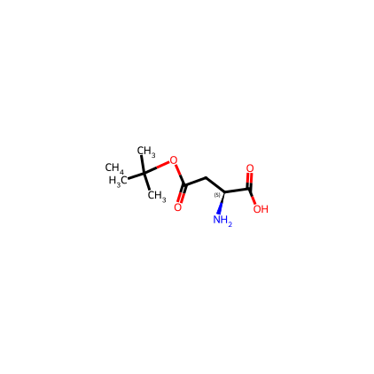 C.CC(C)(C)OC(=O)C[C@H](N)C(=O)O